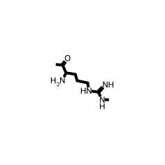 CNC(=N)NCCCC(N)C(C)=O